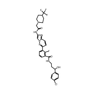 O=C(CN1CCC(C(F)(F)F)CC1)Nc1cn2nc(-c3cccc(C(=O)NCCC(O)c4ccc(Cl)cc4)c3F)ccc2n1